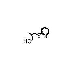 CC(CO)CSc1ccccn1